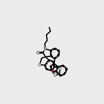 CCCCCN1C(=O)C2(COc3cc4c(cc32)OCO4)c2c(-c3csc4ccccc34)cccc21